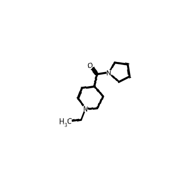 CCN1CCC(C(=O)N2CCCC2)CC1